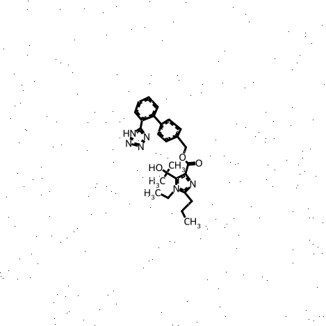 CCCc1nc(C(=O)OCc2ccc(-c3ccccc3-c3nnn[nH]3)cc2)c(C(C)(C)O)n1CC